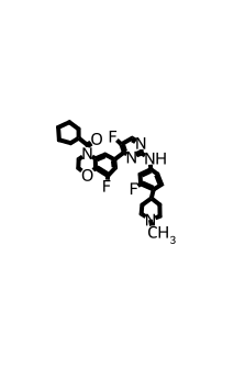 CN1CCC(c2ccc(Nc3ncc(F)c(-c4cc(F)c5c(c4)N(C(=O)C4CCCCC4)CCO5)n3)cc2F)CC1